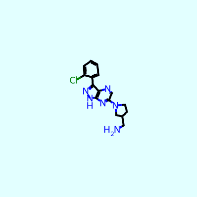 NCC1CCN(c2cnc3c(-c4ccccc4Cl)n[nH]c3n2)C1